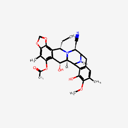 CC[C@H]1c2c3c(c(C)c(OC(C)=O)c2[C@@H](O)[C@@H]2C4c5c(cc(C)c(OC)c5O)CC([C@H](C#N)N12)N4C)OCO3